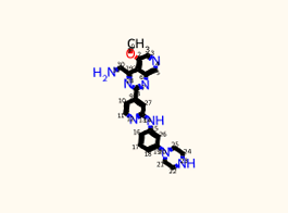 COc1cncc2nc(-c3ccnc(Nc4cccc(N5CCNCC5)c4)c3)nc(CN)c12